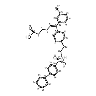 O=C(O)CCC/C=C(\c1ccc(CCNS(=O)(=O)c2ccc(-c3ccccc3)cc2)cc1)c1cccc(Br)c1